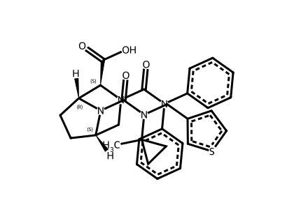 CC1(N(Cc2ccsc2)C(=O)N2[C@H]3CC[C@@H]2[C@@H](C(=O)O)N(C(=O)N(c2ccccc2)c2ccccc2)C3)CC1